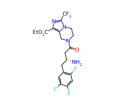 CCOC(=O)c1nc(C(F)(F)F)n2c1CN(C(=O)C[C@H](N)Cc1cc(F)c(F)cc1F)CC2